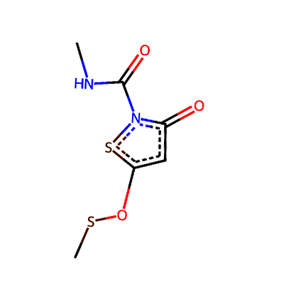 CNC(=O)n1sc(OSC)cc1=O